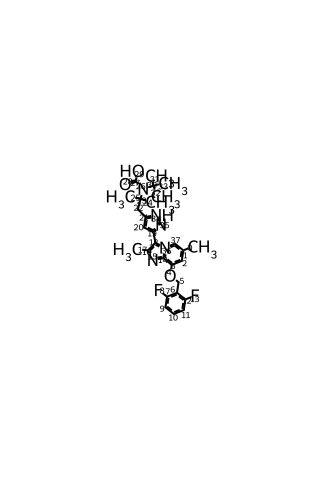 Cc1cc(OCc2c(F)cccc2F)c2nc(C)c(-c3cc(CC(C)(C)N(C(=O)O)C(C)(C)C)[nH]n3)n2c1